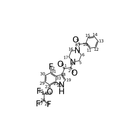 O=C(C(=O)N1CCN(C(=O)c2ccccc2)CC1)c1c[nH]c2c(OC(F)C(F)F)ccc(F)c12